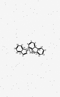 C1=C[SH](c2cccc3c2[nH]c2ccccc23)c2ccccc21